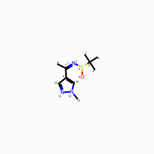 C/C(=N/[S+]([O-])C(C)(C)C)c1cnn(C)c1